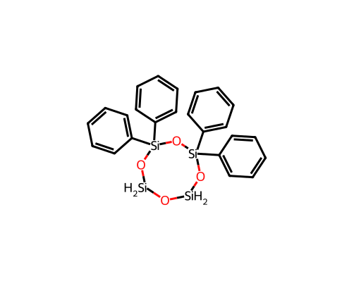 c1ccc([Si]2(c3ccccc3)O[SiH2]O[SiH2]O[Si](c3ccccc3)(c3ccccc3)O2)cc1